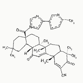 CC1(C)CC[C@]2(C(=O)n3cnc(-c4ccc(C(F)(F)F)nc4)c3)CC[C@]3(C)[C@H](C(=O)C=C4[C@@]5(C)C=C(C#N)C(=O)C(C)(C)C5CC[C@]43C)C2C1